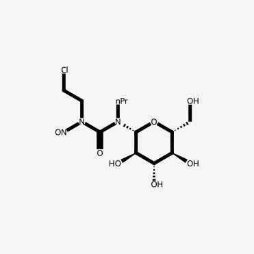 CCCN(C(=O)N(CCCl)N=O)[C@@H]1O[C@H](CO)[C@@H](O)[C@H](O)[C@H]1O